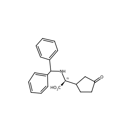 O=C1CCC([C@H](NC(c2ccccc2)c2ccccc2)C(=O)O)C1